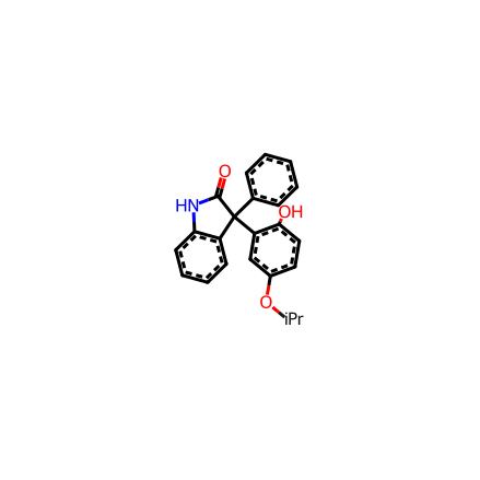 CC(C)Oc1ccc(O)c(C2(c3ccccc3)C(=O)Nc3ccccc32)c1